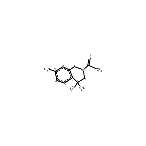 CC1(C)CN(C(=O)C(F)(F)F)Cc2cc(N)ccc21